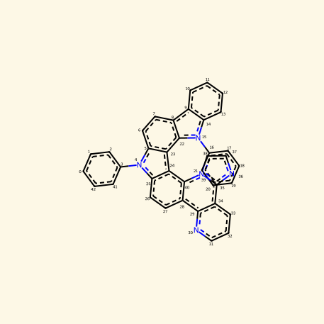 c1ccc(-n2c3ccc4c5ccccc5n(-c5ccccc5)c4c3c3c2ccc2c4ncccc4c4nccn4c23)cc1